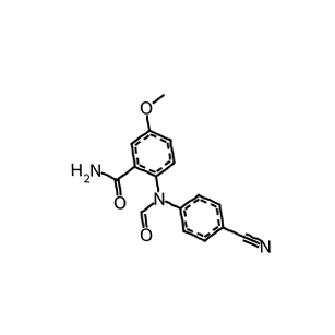 COc1ccc(N(C=O)c2ccc(C#N)cc2)c(C(N)=O)c1